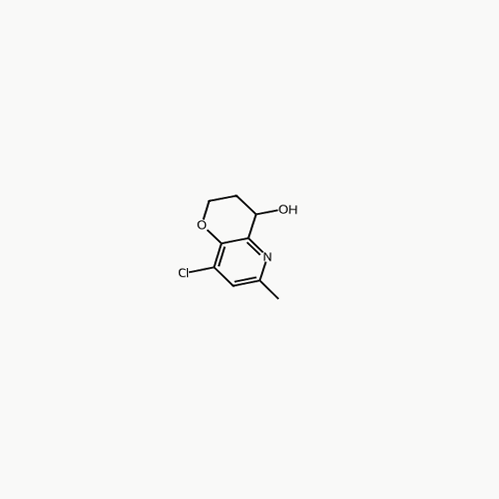 Cc1cc(Cl)c2c(n1)C(O)CCO2